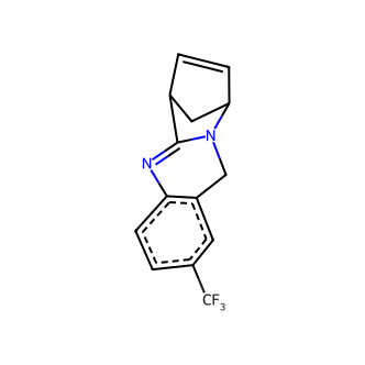 FC(F)(F)c1ccc2c(c1)CN1C(=N2)C2C=CC1C2